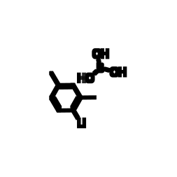 OB(O)O.[Li][c]1ccc(C)cc1C